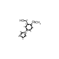 COc1ccc(-n2ccnc2)cc1CO